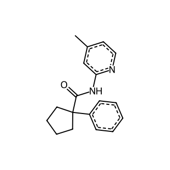 Cc1ccnc(NC(=O)C2(c3ccccc3)CCCC2)c1